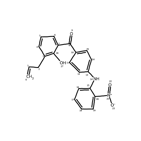 C=CCc1cccc(C(=O)c2ccc(Nc3ccccc3[N+](=O)[O-])cc2)c1O